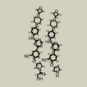 N#Cc1cc(-c2ncnc(Nc3ccc(N4CCN(C5COC5)CC4)cc3)n2)ccc1O[C@@H]1CCN(C(=O)CO)C1.N#Cc1cc(-c2ncnc(Nc3ccc(N4CCN(C5COC5)CC4)cc3)n2)ccc1O[C@@H]1CCNC1